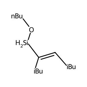 CCCCO[SiH2]C(=CC(C)CC)C(C)CC